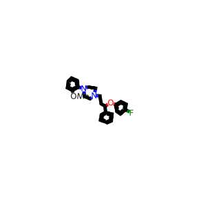 COc1ccccc1N1CCN(CCC(Oc2ccc(F)cc2)c2ccccc2)CC1